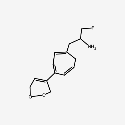 NC(CF)CC1=CC=C(C2=CCOCC2)C=CC1